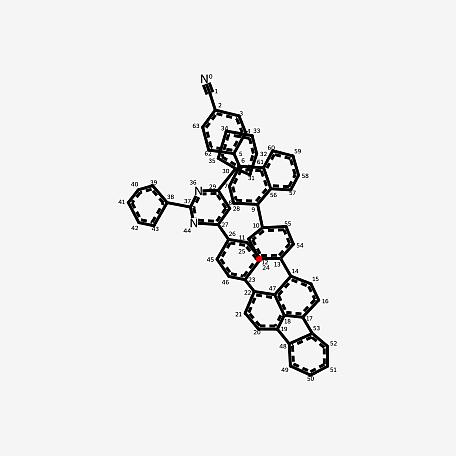 N#Cc1ccc(-c2ccc(-c3ccc(-c4ccc5c6c(ccc(-c7ccc(-c8cc(-c9ccccc9)nc(-c9ccccc9)n8)cc7)c46)-c4ccccc4-5)cc3)c3ccccc23)cc1